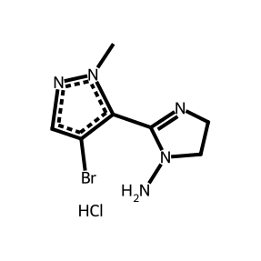 Cl.Cn1ncc(Br)c1C1=NCCN1N